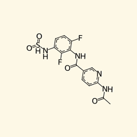 CC(=O)Nc1ccc(C(=O)Nc2c(F)ccc(N[SH](=O)=O)c2F)cn1